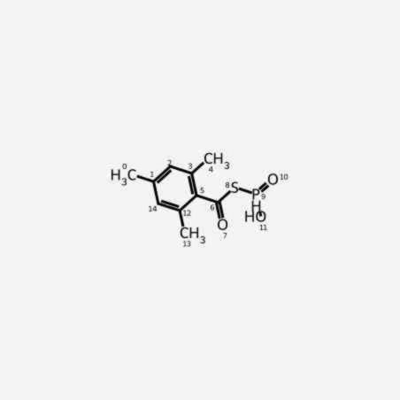 Cc1cc(C)c(C(=O)S[PH](=O)O)c(C)c1